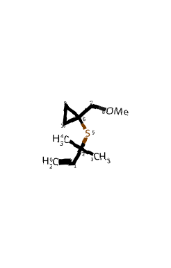 C=CC(C)(C)SC1(COC)CC1